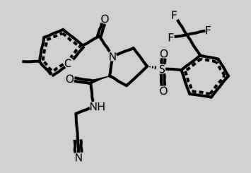 Cc1ccc(C(=O)N2C[C@H](S(=O)(=O)c3ccccc3C(F)(F)F)C[C@H]2C(=O)NCC#N)cc1